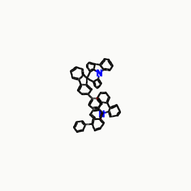 c1ccc(-c2cccc(N(c3ccc(-c4ccc5c(c4)C4(c6ccccc6-5)c5ccccc5-n5c6ccccc6c6cccc4c65)cc3)c3ccccc3-c3ccccc3-c3ccccc3)c2)cc1